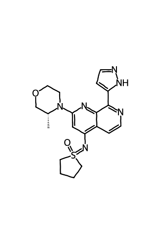 C[C@@H]1COCCN1c1cc(N=S2(=O)CCCC2)c2ccnc(-c3ccn[nH]3)c2n1